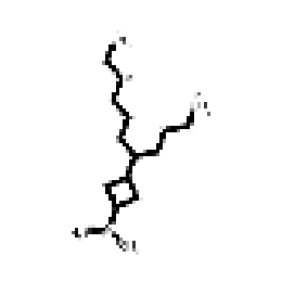 BN(C)C1CC(C(CCCC)CCCCCC)C1